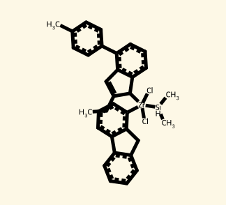 CCC1=Cc2c(-c3ccc(C)cc3)cccc2[CH]1[Zr]([Cl])([Cl])([c]1cccc2c1Cc1ccccc1-2)[SiH](C)C